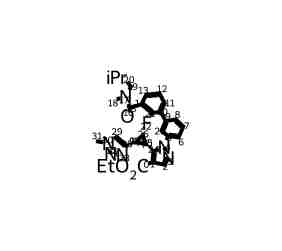 CCOC(=O)c1cnn(-c2cccc(-c3cccc(C(=O)N(C)CC(C)C)c3F)c2)c1[C@@H]1C[C@H]1c1cn(C)nn1